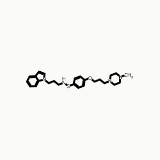 CN1CCN(CCCOc2ccc(SNCCCn3ccc4ccccc43)cc2)CC1